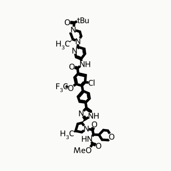 COC(=O)NC(C(=O)N1C[C@@H](C)C[C@H]1c1nc(-c2ccc(-c3c(Cl)cc(C(=O)Nc4ccc(N5CCN(C(=O)C(C)(C)C)C[C@H]5C)nc4)cc3OC(F)(F)F)cc2)c[nH]1)C1CCOCC1